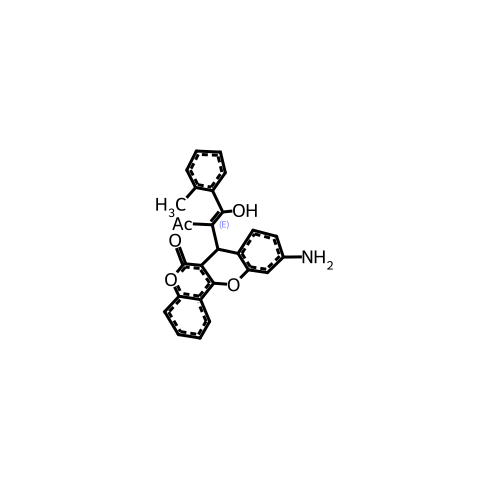 CC(=O)/C(=C(/O)c1ccccc1C)C1c2ccc(N)cc2Oc2c1c(=O)oc1ccccc21